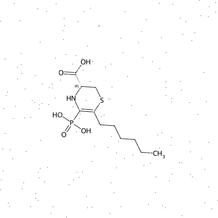 CCCCCCC1=C(P(=O)(O)O)N[C@H](C(=O)O)CS1